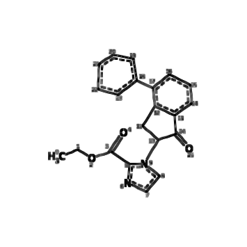 CCOC(=O)c1nccn1C1Cc2c(cccc2-c2ccccc2)C1=O